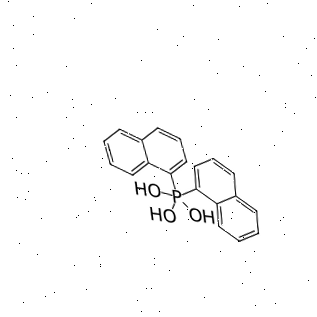 OP(O)(O)(c1cccc2ccccc12)c1cccc2ccccc12